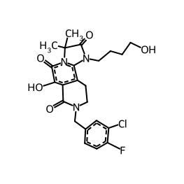 CC1(C)C(=O)N(CCCCO)c2c3c(c(O)c(=O)n21)C(=O)N(Cc1ccc(F)c(Cl)c1)CC3